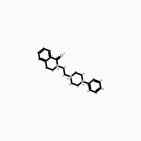 O=C1c2ccccc2CCN1CCN1CCN(c2ccccc2)CC1